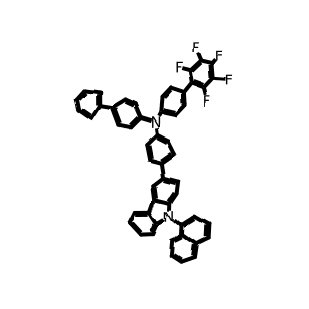 Fc1c(F)c(F)c(-c2ccc(N(c3ccc(-c4ccccc4)cc3)c3ccc(-c4ccc5c(c4)c4ccccc4n5-c4cccc5ccccc45)cc3)cc2)c(F)c1F